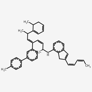 C/C=C\C=C/C1=Cc2cccc(NC(C)/C=C\C(=C/C(C)C3=CC=CCC3C)c3cccc(-c4ccc(C)cc4)c3)c2C1